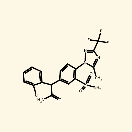 Cc1nc(C(F)(F)F)nn1-c1ccc(C(C(N)=O)c2ccccc2Cl)cc1S(N)(=O)=O